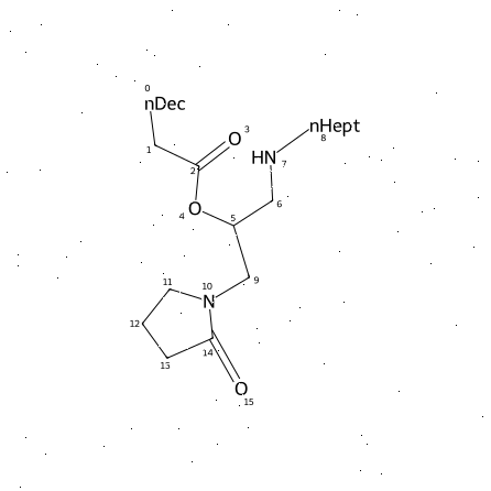 CCCCCCCCCCCC(=O)OC(CNCCCCCCC)CN1CCCC1=O